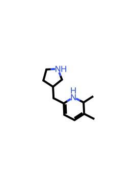 CC1=CC=C(CC2CCNC2)NC1C